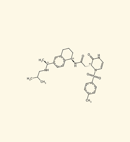 Cc1ccc(S(=O)(=O)N2C=CNC(=O)[C@H]2CC(=O)N[C@@H]2CCCc3cc([C@H](C)NCC(C)C)ccc32)cc1